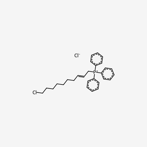 ClCCCCCCCC=CC[P+](c1ccccc1)(c1ccccc1)c1ccccc1.[Cl-]